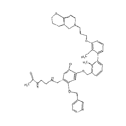 CC(=O)NCCNCc1cc(Cl)c(OCc2cccc(-c3cccc(OCCCN4CCC5OCCCC5C4)c3C)c2C)cc1OCc1cccnc1